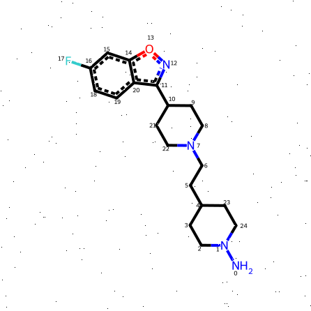 NN1CCC(CCN2CCC(c3noc4cc(F)ccc34)CC2)CC1